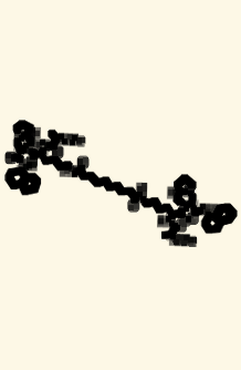 CN[C@@H](C)C(=O)N[C@@H](CCCCNC(=O)CCCCCCCCC(=O)NCCCC[C@H](NC(=O)[C@H](C)NC)C(=O)N1C[C@H]2CCCN2C[C@H]1C(=O)N[C@@H]1CCCc2ccccc21)C(=O)N1C[C@H]2CCCN2C[C@H]1C(=O)N[C@@H]1CCCc2ccccc21